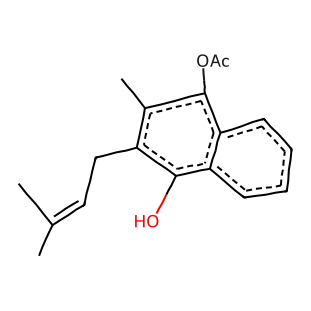 CC(=O)Oc1c(C)c(CC=C(C)C)c(O)c2ccccc12